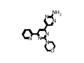 Nc1ncc(-c2cc(-c3ccccn3)nc(N3CCOCC3)n2)cn1